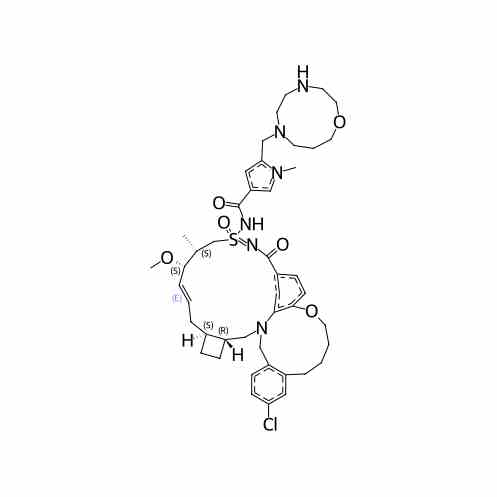 CO[C@H]1/C=C/C[C@@H]2CC[C@H]2CN2Cc3ccc(Cl)cc3CCCCOc3ccc(cc32)C(=O)N=S(=O)(NC(=O)c2cc(CN3CCCOCCNCC3)n(C)c2)C[C@H]1C